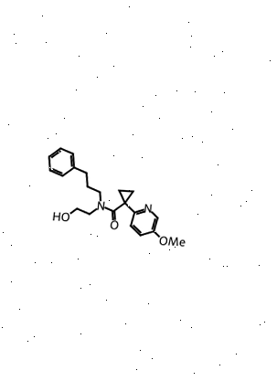 COc1ccc(C2(C(=O)N(CCO)CCCc3ccccc3)CC2)nc1